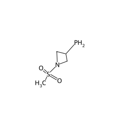 CS(=O)(=O)N1CC(P)C1